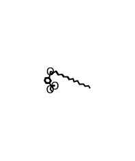 CCCCCCCCC=CC=CC=CC1OC1c1cccc(C(=O)OC)c1